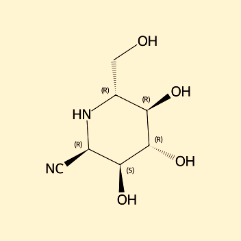 N#C[C@H]1N[C@H](CO)[C@@H](O)[C@H](O)[C@H]1O